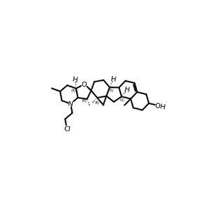 CC1C[C@H]2OC3(CC[C@H]4C5CC=C6CC(O)CCC6(C)[C@H]5CC45C[C@]53C)[C@H](C)C2N(CCCl)C1